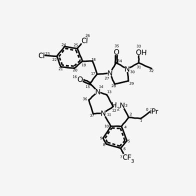 CC(C)CC(N)c1cc(C(F)(F)F)ccc1N1CCN(C(=O)C(Cc2ccc(Cl)cc2Cl)N2CCN(C(C)O)C2=O)CC1